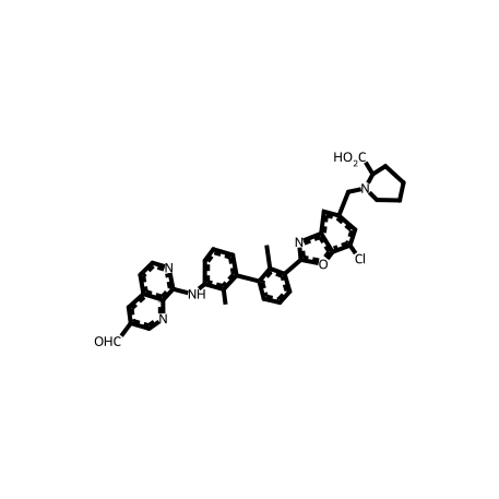 Cc1c(Nc2nccc3cc(C=O)cnc23)cccc1-c1cccc(-c2nc3cc(CN4CCCCC4C(=O)O)cc(Cl)c3o2)c1C